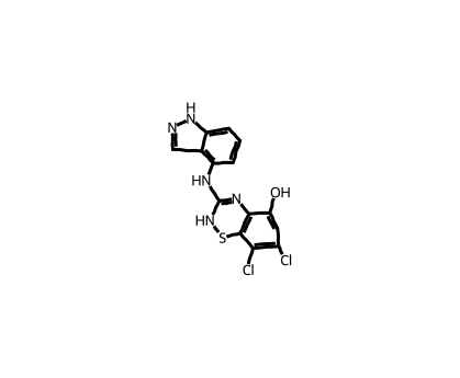 Oc1cc(Cl)c(Cl)c2c1N=C(Nc1cccc3[nH]ncc13)NS2